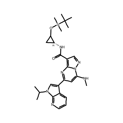 CNc1cc(-c2cn(C(C)C)c3ncccc23)nc2c(C(=O)N[C@@H]3CC3O[Si](C)(C)C(C)(C)C)cnn12